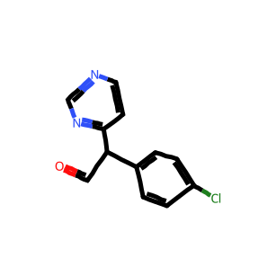 O=CC(c1ccc(Cl)cc1)c1ccncn1